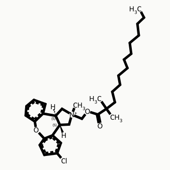 CCCCCCCCCCCCC(C)(C)C(=O)OC[N+]1(C)C[C@@H]2c3ccccc3Oc3ccc(Cl)cc3[C@H]2C1